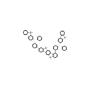 CC1(C)c2ccccc2-c2ccc(N(c3ccccc3)c3cccc(-c4ccc5c(c4)C(C)(C)c4cc6c(cc4-5)C(C)(C)c4cccc(-c5cccc(N(c7ccccc7)c7ccc8c(c7)C(C)(C)c7ccccc7-8)c5)c4-6)c3)cc21